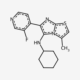 Cc1csc2nc(-c3ccncc3F)c(NC3CCCCC3)n12